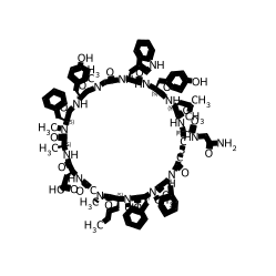 CCCC[C@H]1C(=O)N(C)CC(=O)N[C@@H](CC(=O)O)C(=O)N[C@@H](C)C(=O)N(C)[C@@H](Cc2ccccc2)C(=O)N[C@@H](Cc2ccc(O)cc2)C(=O)N(C)CC(=O)N[C@@H](Cc2c[nH]c3ccccc23)C(=O)N[C@@H](Cc2ccc(O)cc2)C(=O)N[C@@H](CC(C)C)C(=O)N[C@H](C(=O)NCC(N)=O)CSCC(=O)N[C@@H](Cc2ccccc2)C(=O)N(C)[C@@H](Cc2ccccc2)C(=O)N1C